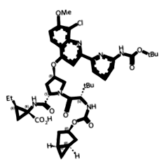 CC[C@@H]1C[C@]1(NC(=O)[C@@H]1C[C@@H](Oc2cc(-c3cccc(NC(=O)OC(C)(C)C)n3)nc3c(Cl)c(OC)ccc23)CN1C(=O)[C@@H](NC(=O)O[C@@H]1C[C@@H]2C[C@@H]2C1)C(C)(C)C)C(=O)O